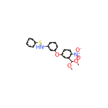 COC(OC)c1cc(Oc2cccc(NSc3ccccc3)c2)ccc1[N+](=O)[O-]